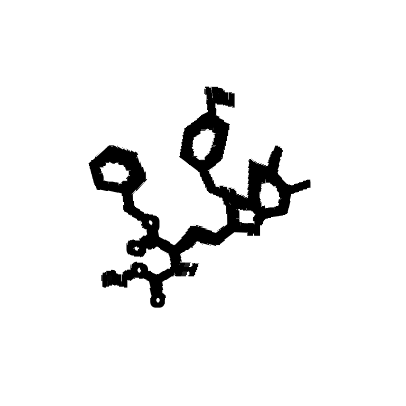 Cc1cc2nc(CCC(NC(=O)OC(C)(C)C)C(=O)OCc3ccccc3)n(Cc3ccc(C(C)(C)C)cc3)c2cc1C